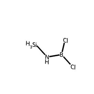 [SiH3]NB(Cl)Cl